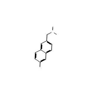 [CH2]c1ccc2cc(CN(CC)CC)ccc2c1